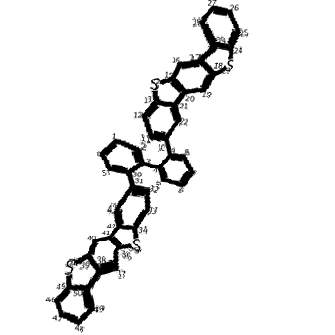 c1ccc(-c2ccccc2-c2ccc3sc4cc5c(cc4c3c2)sc2ccccc25)c(-c2ccc3sc4cc5c(cc4c3c2)sc2ccccc25)c1